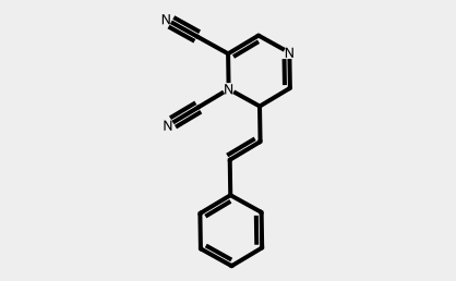 N#CC1=CN=CC(C=Cc2ccccc2)N1C#N